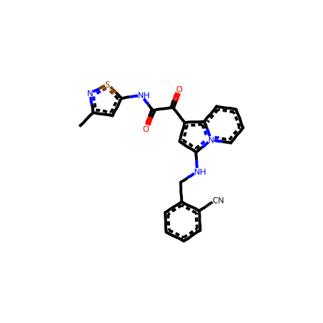 Cc1cc(NC(=O)C(=O)c2cc(NCc3ccccc3C#N)n3ccccc23)sn1